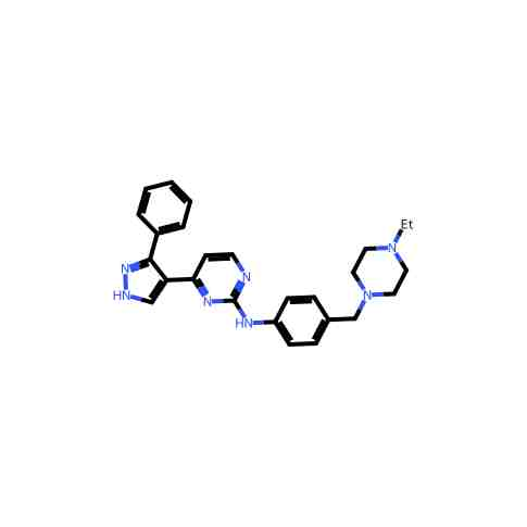 CCN1CCN(Cc2ccc(Nc3nccc(-c4c[nH]nc4-c4ccccc4)n3)cc2)CC1